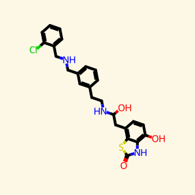 O=c1[nH]c2c(O)ccc(CC(O)NCCc3cccc(CNCc4ccccc4Cl)c3)c2s1